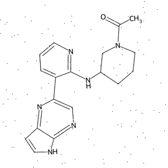 CC(=O)N1CCCC(Nc2ncccc2-c2cnc3[nH]ccc3n2)C1